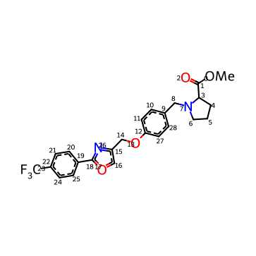 COC(=O)C1CCCN1Cc1ccc(OCc2coc(-c3ccc(C(F)(F)F)cc3)n2)cc1